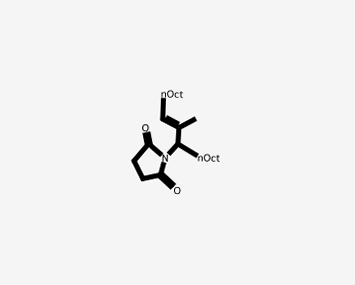 CCCCCCCCC=C(C)C(CCCCCCCC)N1C(=O)CCC1=O